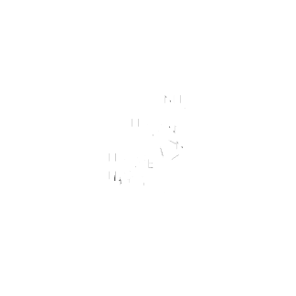 CC1(C)CC(N)CCN1c1cc(B2OC(C)(C)C(C)(C)O2)ccn1